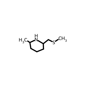 CSCC1CCCC(C)N1